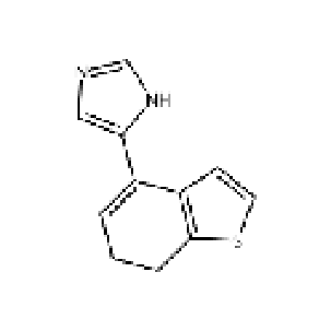 C1=C(c2cnc[nH]2)c2ccsc2CC1